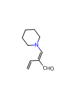 C=C/C(C=O)=C\N1CCCCC1